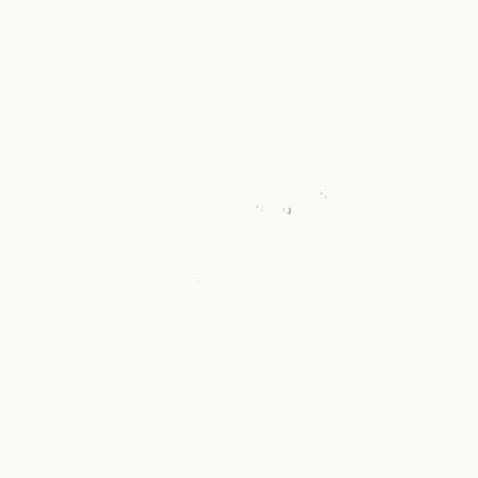 CCOC(=O)c1ccc(NNC(=S)NC)cc1